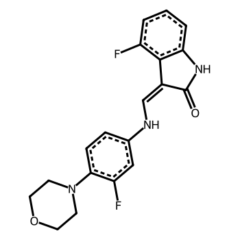 O=C1Nc2cccc(F)c2C1=CNc1ccc(N2CCOCC2)c(F)c1